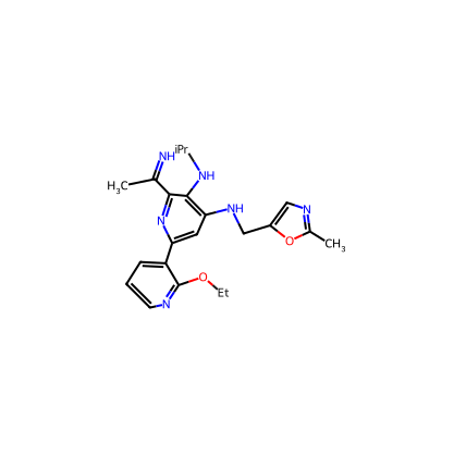 CCOc1ncccc1-c1cc(NCc2cnc(C)o2)c(NC(C)C)c(C(C)=N)n1